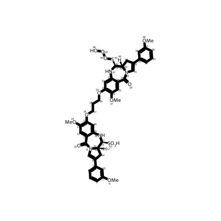 COc1cccc(C2=CN3C(=O)c4cc(OC)c(OCCCOc5cc6c(cc5OC)C(=O)N5C=C(c7cccc(OC)c7)C[C@H]5[C@H](SOOO)N6)cc4N[C@@H](S(=O)(=O)O)[C@@H]3C2)c1